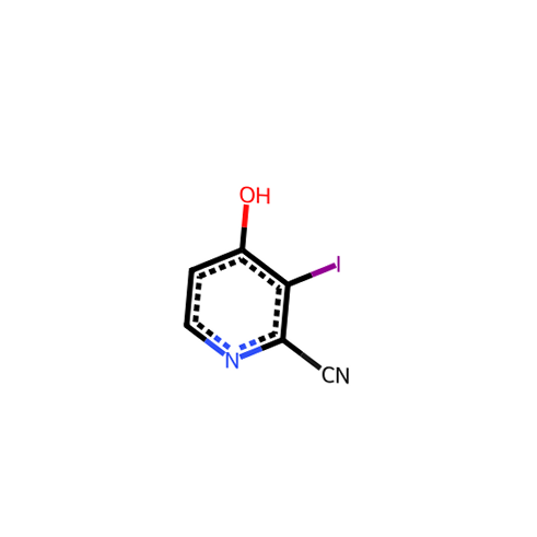 N#Cc1nccc(O)c1I